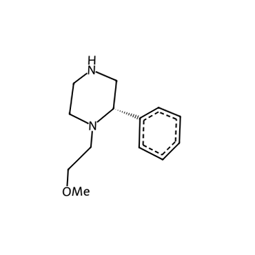 COCCN1CCNC[C@@H]1c1ccccc1